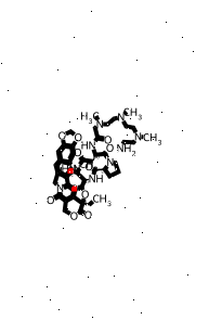 CC[C@@]1(OC(=O)[C@@H](NC(=O)[C@@H]2CCCN2C(=O)[C@H](CC(N)=O)NC(=O)CN(C)CCN(C)CCN(C)CCN)C(C)C)C(=O)OCc2c1cc1n(c2=O)Cc2cc3cc4c(cc3nc2-1)OCO4